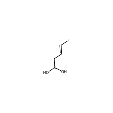 OB(O)CC=CF